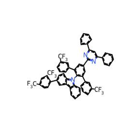 FC(F)(F)c1cccc(-c2cc(-c3nc(-c4ccccc4)cc(-c4ccccc4)n3)cc(-c3cccc(C(F)(F)F)c3)c2-n2c3ccccc3c3cc(-c4ccc(C(F)(F)F)cc4C(F)(F)F)ccc32)c1